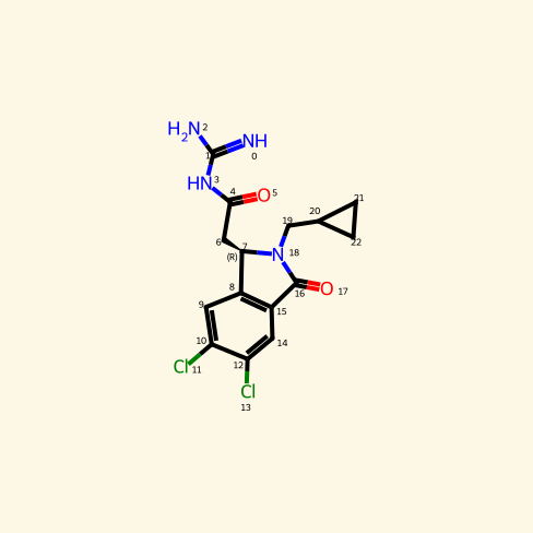 N=C(N)NC(=O)C[C@@H]1c2cc(Cl)c(Cl)cc2C(=O)N1CC1CC1